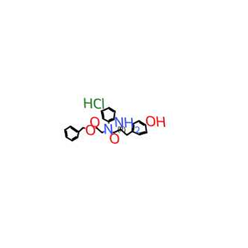 Cl.N[C@H](Cc1ccc(O)cc1)C(=O)N(CC(=O)OCc1ccccc1)c1ccccc1